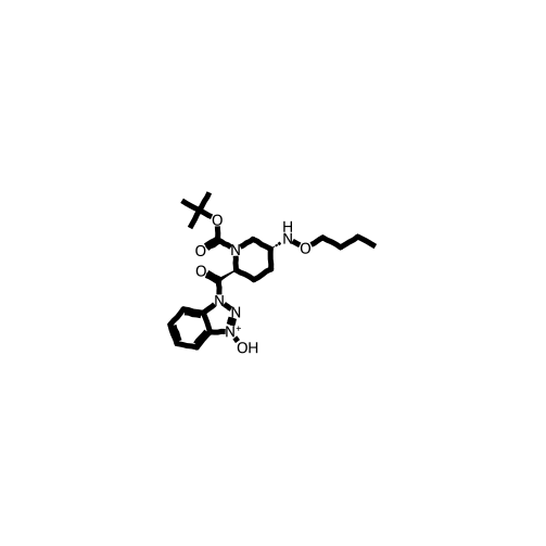 CCCCON[C@@H]1CC[C@@H](C(=O)n2n[n+](O)c3ccccc32)N(C(=O)OC(C)(C)C)C1